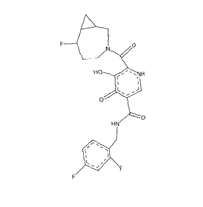 O=C(NCc1ccc(F)cc1F)c1c[nH]c(C(=O)N2CCC(F)C3CC3C2)c(O)c1=O